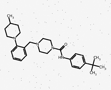 CC1CCN(c2ccccc2CN2CCN(C(=O)Nc3ccc(C(C)(C)C)cc3)CC2)CC1